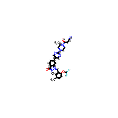 Cc1ccc(OC(F)F)c(Cn2c3cc(-c4cnc(N5CCN(C(=O)CC#N)[C@H](C)C5)nc4)ccc3c(=O)n2C)c1